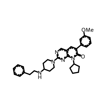 COc1cccc(-c2cc3cnc(N4CCC(NCCc5ccccc5)CC4)nc3n(C3CCCC3)c2=O)c1